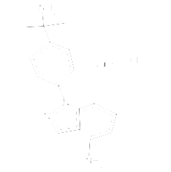 CC(C)(N)c1ccc(-n2ncc3c(N)cccc32)cc1.Cl.Cl.Cl